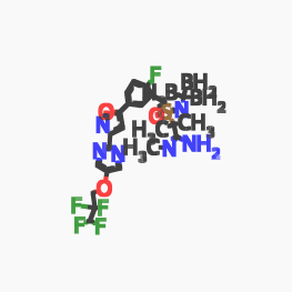 BC(B)(B)N=S(=O)(Cc1cc(-c2cc(-c3ncc(OCC(F)(F)C(F)F)cn3)no2)ccc1F)C(C)(C)/C(N)=N\C